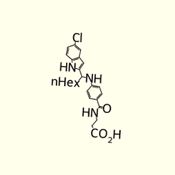 CCCCCCC(Nc1ccc(C(=O)NCCC(=O)O)cc1)c1cc2cc(Cl)ccc2[nH]1